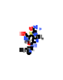 Cc1ncc(C(=O)NCCN2CCCC2(C)C)cc1-c1c(-c2cn(C)nc2CO)sc2c(C(N)=O)cnn12